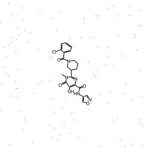 Cn1c(C2CCCN(C(=O)c3ccccc3Cl)C2)nc(C(=O)Nc2cnoc2)c(O)c1=O